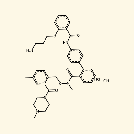 Cc1ccc(CON(C)C(=O)c2ccccc2-c2ccc(NC(=O)c3ccccc3OCCCN)cc2)c(C(=O)N2CCN(C)CC2)c1.Cl.Cl